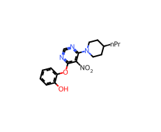 CCCC1CCN(c2ncnc(Oc3ccccc3O)c2[N+](=O)[O-])CC1